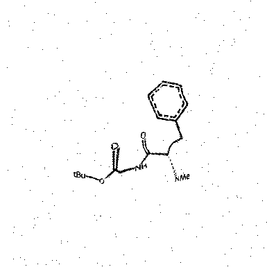 CN[C@@H](Cc1ccccc1)C(=O)NC(=O)OC(C)(C)C